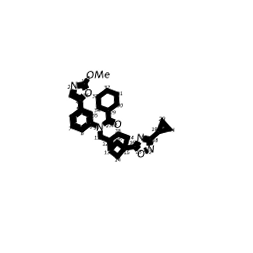 COc1ncc(-c2cccc(N(CC3=C4CC(c5nc(C6CC6)no5)(CC3)C4)C(=O)C3CCCCC3)c2)o1